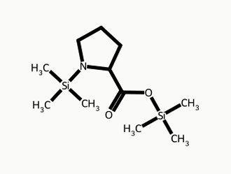 C[Si](C)(C)OC(=O)C1CCCN1[Si](C)(C)C